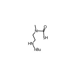 CCCCNCCN(C)C(=O)S